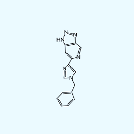 c1ccc(Cn2cnc(-c3cc4[nH]nnc4cn3)c2)cc1